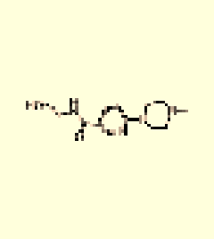 CN1CCN(c2ccc(C(=O)NCCO)cn2)CC1